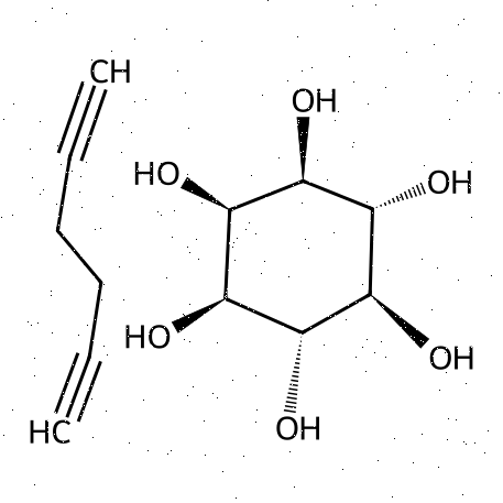 C#CCCC#C.O[C@H]1[C@H](O)[C@@H](O)[C@H](O)[C@@H](O)[C@H]1O